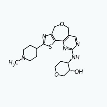 CN1CCC(c2nc3c(s2)-c2nc(N[C@@H]4CCOC[C@H]4O)ncc2COC3)CC1